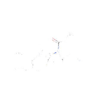 CC(=O)OCC1=C(C(=O)O)N2C(=O)[C@@H](N(C(=O)CN)C(=O)OC(C)(C)C)[C@H]2SC1